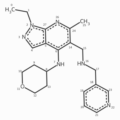 CCn1ncc2c(NC3CCOCC3)c(CNCc3cccnc3)c(C)nc21